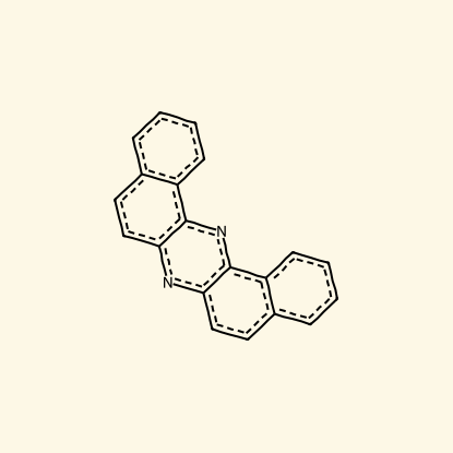 c1ccc2c(c1)ccc1nc3ccc4ccccc4c3nc12